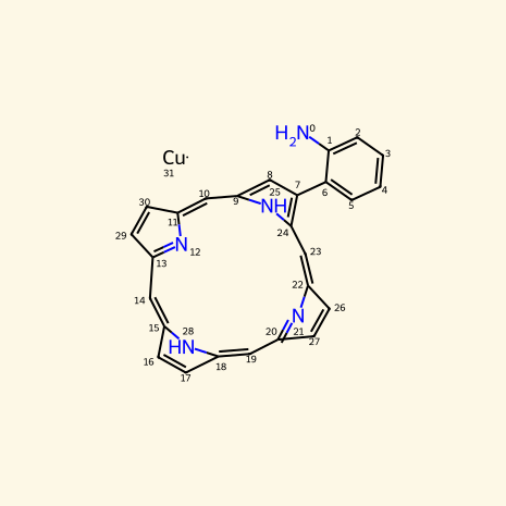 Nc1ccccc1-c1cc2cc3nc(cc4ccc(cc5nc(cc1[nH]2)C=C5)[nH]4)C=C3.[Cu]